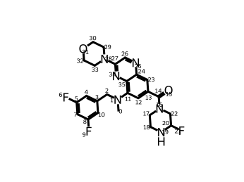 CN(Cc1cc(F)cc(F)c1)c1cc(C(=O)N2CCNC(F)C2)cc2ncc(N3CCOCC3)nc12